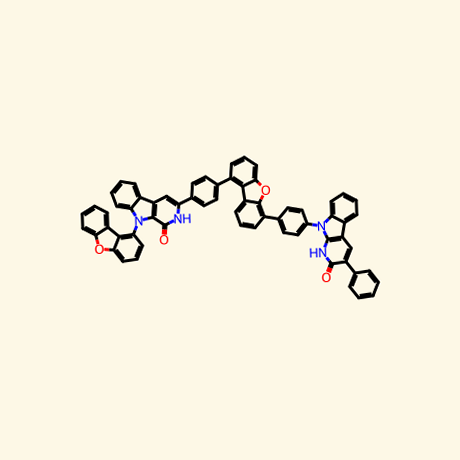 O=c1[nH]c2c(cc1-c1ccccc1)c1ccccc1n2-c1ccc(-c2cccc3c2oc2cccc(-c4ccc(-c5cc6c7ccccc7n(-c7cccc8oc9ccccc9c78)c6c(=O)[nH]5)cc4)c23)cc1